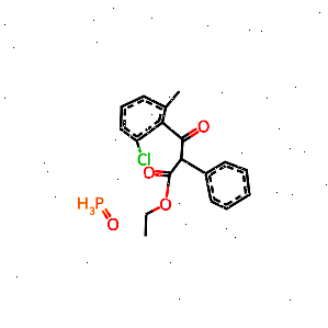 CCOC(=O)C(C(=O)c1c(C)cccc1Cl)c1ccccc1.O=[PH3]